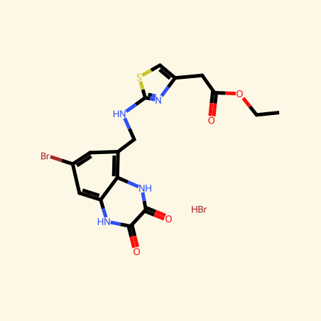 Br.CCOC(=O)Cc1csc(NCc2cc(Br)cc3[nH]c(=O)c(=O)[nH]c23)n1